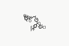 Cc1cc[n+]([O-])c(C)c1C(=O)NCCC(C)N1CCC(C(Oc2cccc(Cl)n2)c2ccc(C(F)(F)F)cc2)CC1